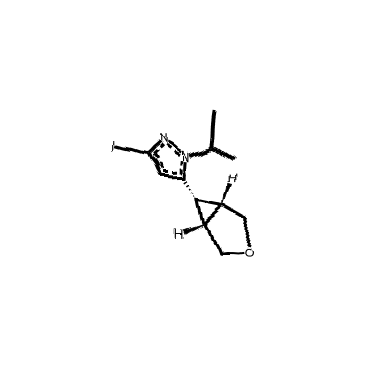 CC(C)n1nc(I)cc1[C@@H]1[C@@H]2COC[C@@H]21